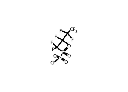 O=S(=O)(Cl)S(=O)(=O)C(F)(F)C(F)(F)C(F)(F)C(F)(F)F